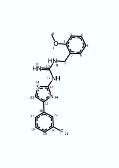 COc1ccccc1CNC(=N)Nc1nc(-c2cccc(F)c2)cs1